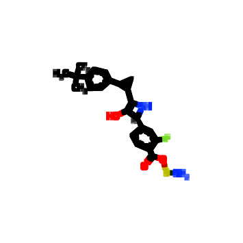 CC(C)(c1ccc(C2CC2C2=C(O)[C@H](c3ccc(C(=O)OSN)c(F)c3)N2)cc1)C(F)(F)F